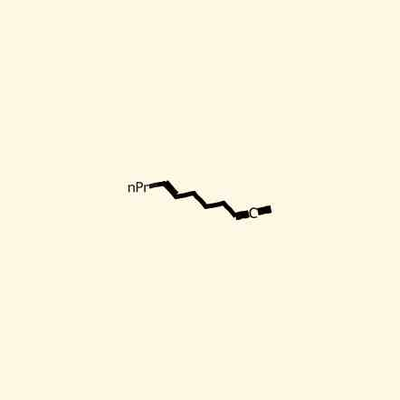 C=C=CCCCC=CCCC